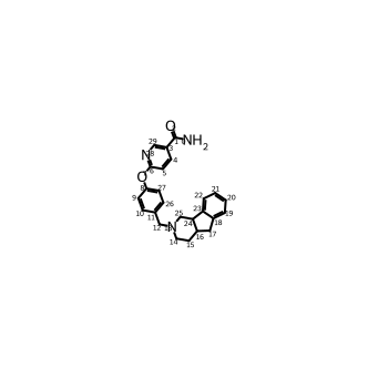 NC(=O)c1ccc(Oc2ccc(CN3CCC4Cc5ccccc5C4C3)cc2)nc1